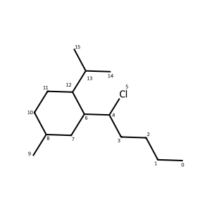 CCCCC(Cl)C1CC(C)CCC1C(C)C